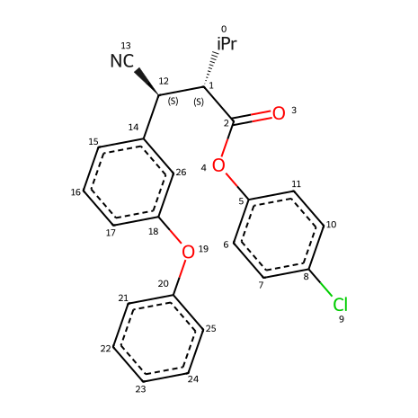 CC(C)[C@H](C(=O)Oc1ccc(Cl)cc1)[C@H](C#N)c1cccc(Oc2ccccc2)c1